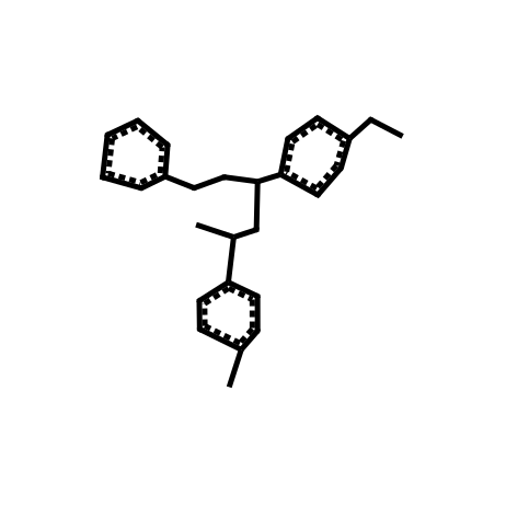 CCc1ccc(C(CCc2ccccc2)CC(C)c2ccc(C)cc2)cc1